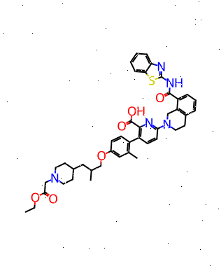 CCOC(=O)CN1CCC(CC(C)COc2ccc(-c3ccc(N4CCc5cccc(C(=O)Nc6nc7ccccc7s6)c5C4)nc3C(=O)O)c(C)c2)CC1